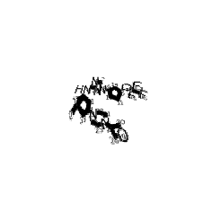 Cc1cc(Nc2ncn(-c3cccc(OC(F)(F)F)c3)n2)cc(N2CCN(C3COC3)CC2)c1